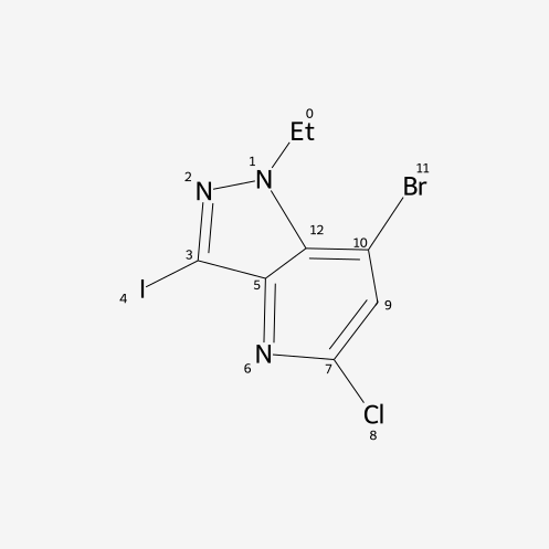 CCn1nc(I)c2nc(Cl)cc(Br)c21